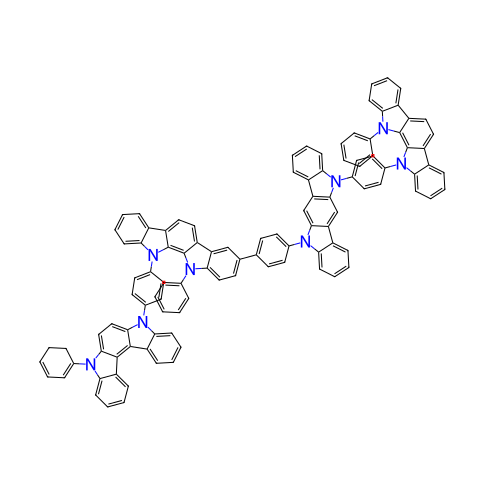 C1=CCCC(n2c3ccccc3c3c4c5ccccc5n(-c5ccc(-n6c7ccccc7c7ccc8c9cc(-c%10ccc(-n%11c%12ccccc%12c%12cc%13c(cc%12%11)c%11ccccc%11n%13-c%11ccc(-n%12c%13ccccc%13c%13ccc%14c%15ccccc%15n(-c%15ccccc%15)c%14c%13%12)cc%11)cc%10)ccc9n(-c9ccccc9)c8c76)cc5)c4ccc32)=C1